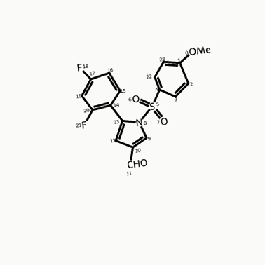 COc1ccc(S(=O)(=O)n2cc(C=O)cc2-c2ccc(F)cc2F)cc1